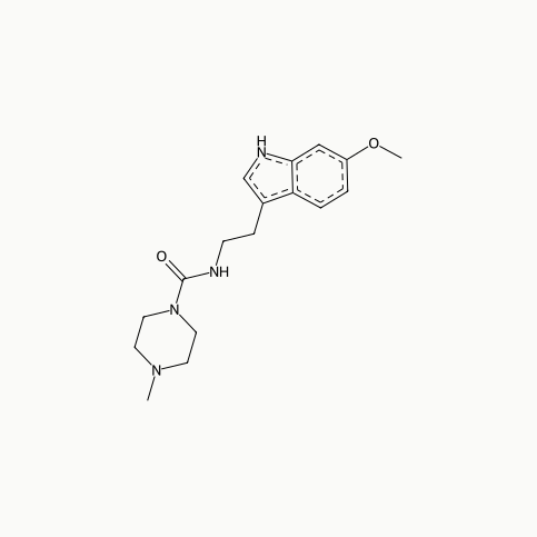 COc1ccc2c(CCNC(=O)N3CCN(C)CC3)c[nH]c2c1